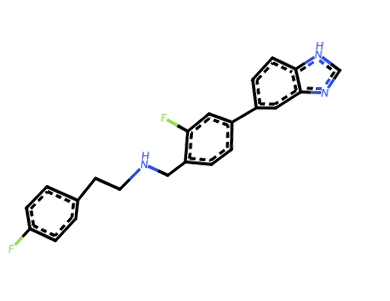 Fc1ccc(CCNCc2ccc(-c3ccc4[nH]cnc4c3)cc2F)cc1